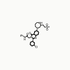 CC(C)NC(=O)Cn1c(-c2cccc(Cl)c2)nc2ccc(N3CCCNC(CCS(C)(=O)=O)C3)cc2c1=O